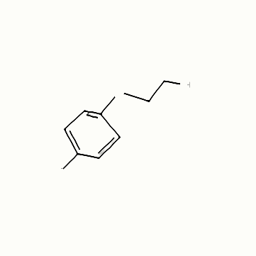 OCCOc1ccc(I)cc1